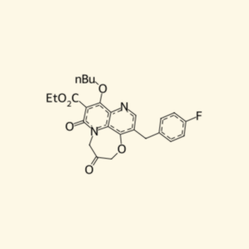 CCCCOc1c(C(=O)OCC)c(=O)n2c3c(c(Cc4ccc(F)cc4)cnc13)OCC(=O)C2